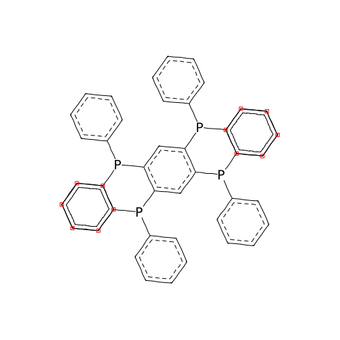 c1ccc(P(c2ccccc2)c2cc(P(c3ccccc3)c3ccccc3)c(P(c3ccccc3)c3ccccc3)cc2P(c2ccccc2)c2ccccc2)cc1